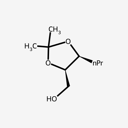 CCC[C@@H]1OC(C)(C)O[C@@H]1CO